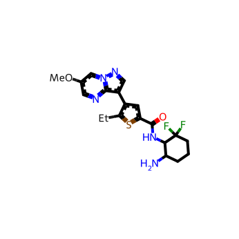 CCc1sc(C(=O)NC2C(N)CCCC2(F)F)cc1-c1cnn2cc(OC)cnc12